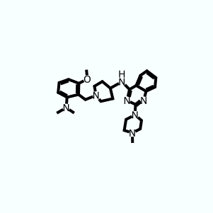 COc1cccc(N(C)C)c1CN1CCC(Nc2nc(N3CCN(C)CC3)nc3ccccc23)CC1